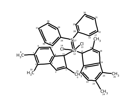 CC1=Cc2c(ccc(C)c2C)[CH]1[Zr]([Cl])([Cl])([CH]1C(C)=Cc2c1ccc(C)c2C)=[Si](c1ccccc1)c1ccccc1